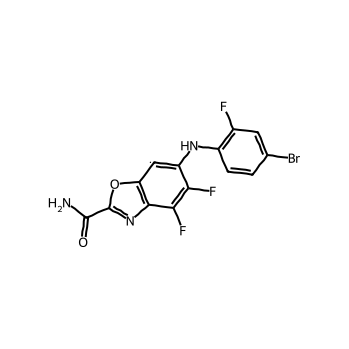 NC(=O)c1nc2c(F)c(F)c(Nc3ccc(Br)cc3F)[c]c2o1